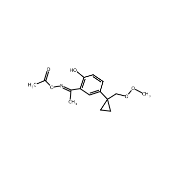 COOCC1(c2ccc(O)c(/C(C)=N/OC(C)=O)c2)CC1